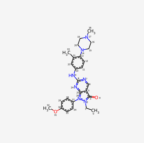 CCn1c(=O)c2cnc(Nc3ccc(N4CCN(C)CC4)c(C)c3)nc2n1-c1ccc(OC)cc1